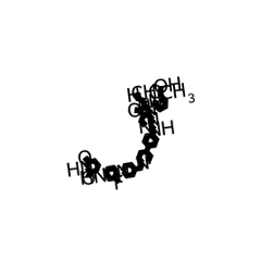 C=CCn1c(=O)c2cnc(Nc3ccc(C4CCN(CC5CCN(c6ccc(N[C@H]7CCC(=O)NC7=O)cc6F)CC5)CC4)cc3)nc2n1-c1cccc(C(C)(C)O)n1